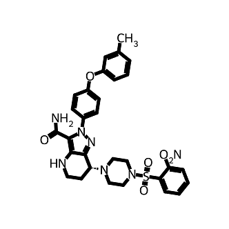 Cc1cccc(Oc2ccc(-n3nc4c(c3C(N)=O)NCC[C@H]4N3CCN(S(=O)(=O)c4ccccc4[N+](=O)[O-])CC3)cc2)c1